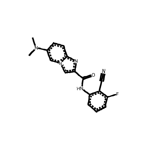 CN(C)c1ccc2nc(C(=O)Nc3cccc(F)c3C#N)cn2c1